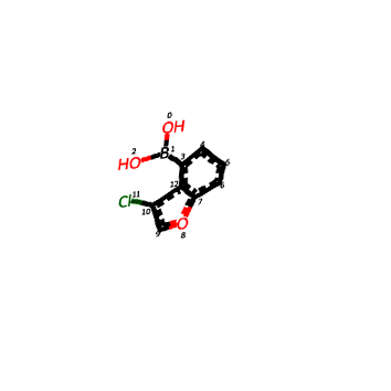 OB(O)c1cccc2occ(Cl)c12